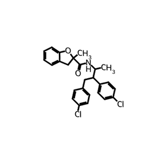 CC(NC(=O)C1(C)Cc2ccccc2O1)C(Cc1ccc(Cl)cc1)c1ccc(Cl)cc1